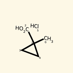 CC1(C(=O)O)CC1.Cl